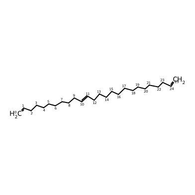 C=CCCCCCCCCC=CCCCCCCCCCCCCC=C